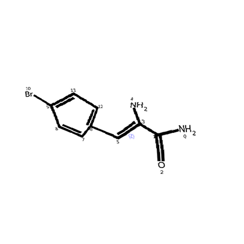 NC(=O)/C(N)=C/c1ccc(Br)cc1